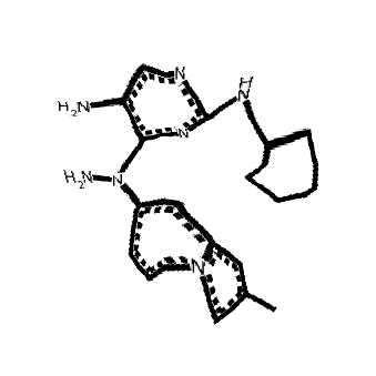 Cc1cc2cc(N(N)c3nc(NC4CCCC4)ncc3N)ccn2c1